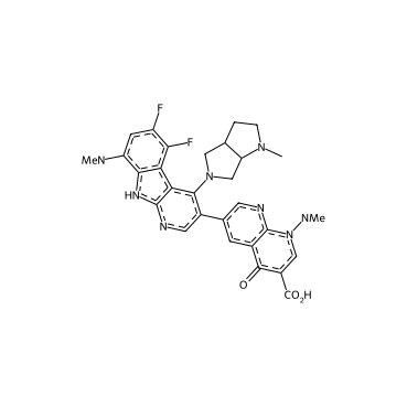 CNc1cc(F)c(F)c2c1[nH]c1ncc(-c3cnc4c(c3)c(=O)c(C(=O)O)cn4NC)c(N3CC4CCN(C)C4C3)c12